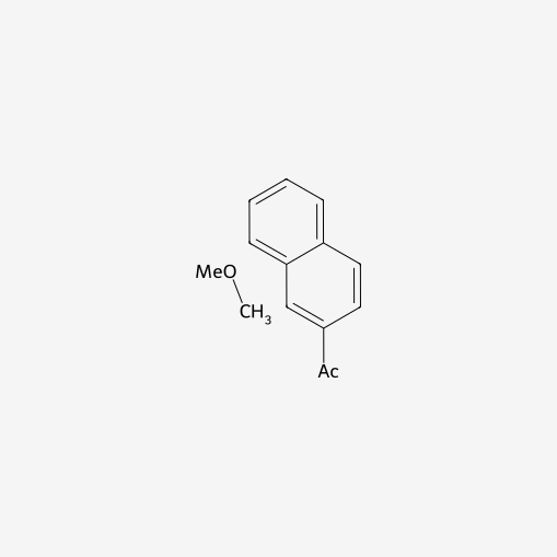 CC(=O)c1ccc2ccccc2c1.COC